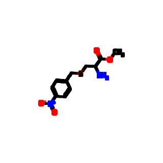 COC(=O)C(N)CSCc1ccc([N+](=O)[O-])cc1